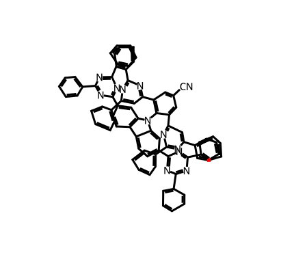 N#Cc1cc(-c2cc(-c3ccccc3)nc(-c3ccccc3)n2)c(-n2c3cc(-c4nc(-c5ccccc5)nc(-c5ccccc5)n4)ccc3c3ccc(-c4nc(-c5ccccc5)nc(-c5ccccc5)n4)cc32)c(-c2cc(-c3ccccc3)nc(-c3ccccc3)n2)c1